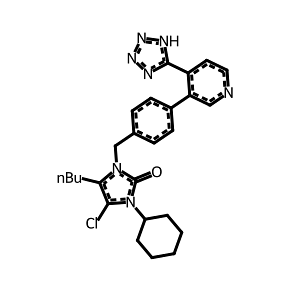 CCCCc1c(Cl)n(C2CCCCC2)c(=O)n1Cc1ccc(-c2cnccc2-c2nnn[nH]2)cc1